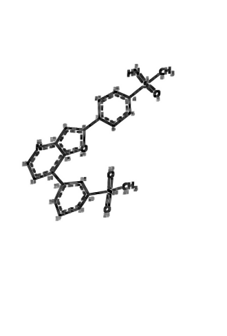 CS(=N)(=O)c1ccc(-c2cc3nccc(-c4cccc(S(C)(=O)=O)c4)c3o2)cc1